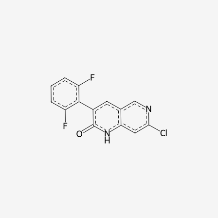 O=c1[nH]c2cc(Cl)ncc2cc1-c1c(F)cccc1F